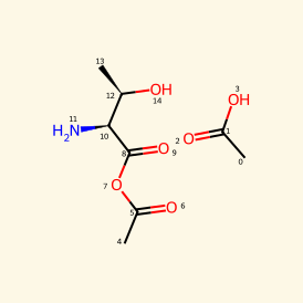 CC(=O)O.CC(=O)OC(=O)[C@@H](N)[C@@H](C)O